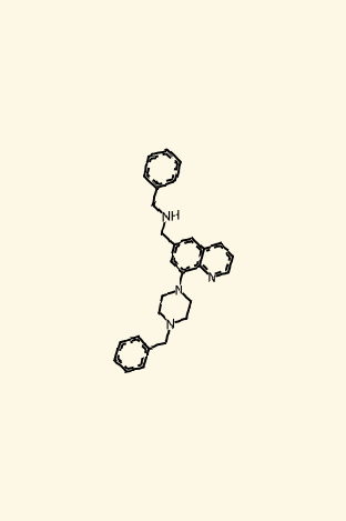 c1ccc(CNCc2cc(N3CCN(Cc4ccccc4)CC3)c3ncccc3c2)cc1